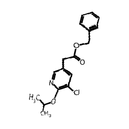 CC(C)Oc1ncc(CC(=O)OCc2ccccc2)cc1Cl